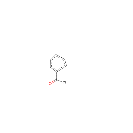 O=[C]([Ti])c1ccccc1